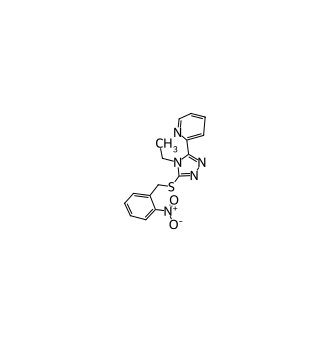 CCn1c(SCc2ccccc2[N+](=O)[O-])nnc1-c1ccccn1